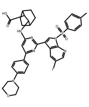 Cc1ccc(S(=O)(=O)n2cc(-c3nc(NC4C5CCC(CC5)C4C(=O)O)cc(-c4ccc(N5CCOCC5)cc4)n3)c3cc(F)cnc32)cc1